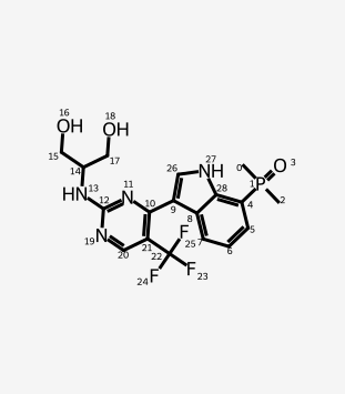 CP(C)(=O)c1cccc2c(-c3nc(NC(CO)CO)ncc3C(F)(F)F)c[nH]c12